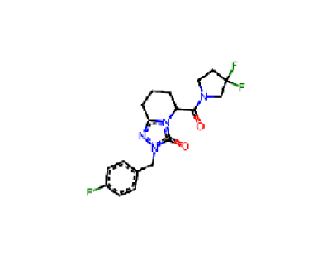 O=C(C1CCCc2nn(Cc3ccc(F)cc3)c(=O)n21)N1CCC(F)(F)C1